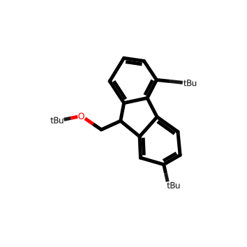 CC(C)(C)OCC1c2cc(C(C)(C)C)ccc2-c2c1cccc2C(C)(C)C